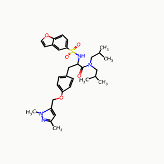 Cc1cc(COc2ccc(CC(NS(=O)(=O)c3ccc4occc4c3)C(=O)N(CC(C)C)CC(C)C)cc2)n(C)n1